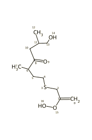 C=C(CSCCC(C)C(=O)CC(C)CO)OO